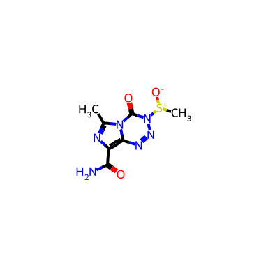 Cc1nc(C(N)=O)c2nnn([S+](C)[O-])c(=O)n12